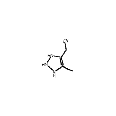 CC1=C(CC#N)NNN1